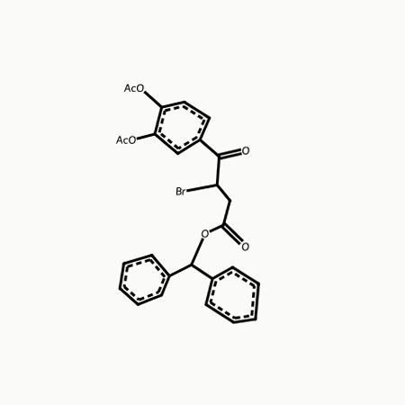 CC(=O)Oc1ccc(C(=O)C(Br)CC(=O)OC(c2ccccc2)c2ccccc2)cc1OC(C)=O